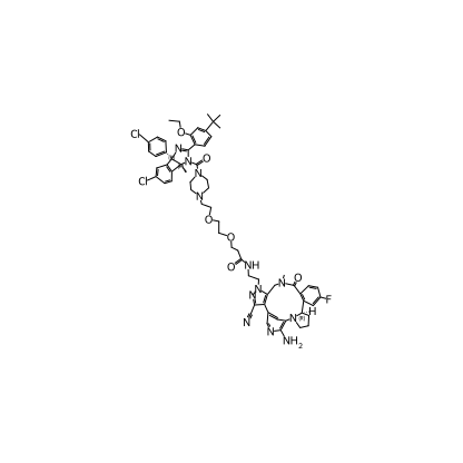 CCOc1cc(C(C)(C)C)ccc1C1=N[C@]2(c3ccc(Cl)cc3)c3cc(Cl)ccc3[C@@]2(C)N1C(=O)N1CCN(CCOCCOCCC(=O)NCCn2nc(C#N)c3c2CN(C)C(=O)c2ccc(F)cc2[C@H]2CCCN2c2cc-3cnc2N)CC1